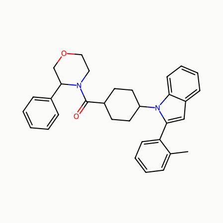 Cc1ccccc1-c1cc2ccccc2n1C1CCC(C(=O)N2CCOCC2c2ccccc2)CC1